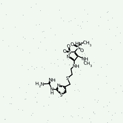 CNC1=C(S(=O)(=O)NC)S(=O)(=O)N=C1NCCSCc1csc(NC(=N)N)n1